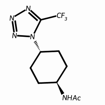 CC(=O)N[C@H]1CC[C@H](n2nnnc2C(F)(F)F)CC1